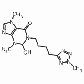 CN1c2ncn(C)c2C(=O)N(CCCCc2nnn(C)n2)C1O